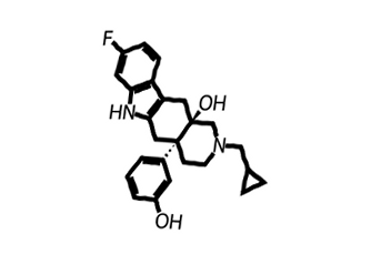 Oc1cccc([C@@]23CCN(CC4CC4)C[C@@]2(O)Cc2c([nH]c4cc(F)ccc24)C3)c1